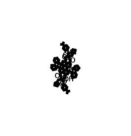 CC(C)c1ccc(NC(=O)C(CC2CCCC2)N2C(=O)c3cc(Oc4ccccc4)c4c5c(Oc6ccccc6)cc6c7c(cc(Oc8ccccc8)c(c8c(Oc9ccccc9)cc(c3c48)C2=O)c75)C(O)N(C(CC2CCCC2)C(=O)Nc2ccc(C(C)C)cc2)C6=O)cc1